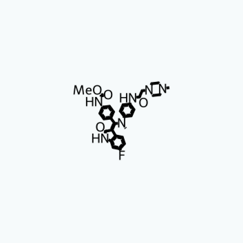 COC(=O)Nc1ccc(C(=C2C(=O)Nc3cc(F)ccc32)N(C)c2ccc(NC(=O)CN3CCN(C)CC3)cc2)cc1